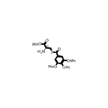 COC(=O)[C@@H](N)CSC(=O)c1cc(OC)c(OC(C)=O)c(OC)c1